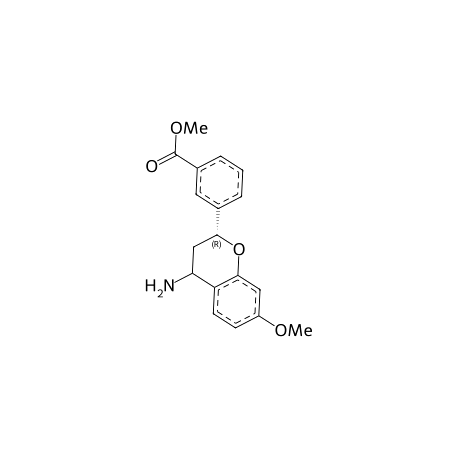 COC(=O)c1cccc([C@H]2CC(N)c3ccc(OC)cc3O2)c1